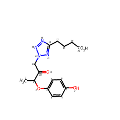 CC(Oc1ccc(O)cc1)C(=O)Cn1nnc(CCCC(=O)O)n1